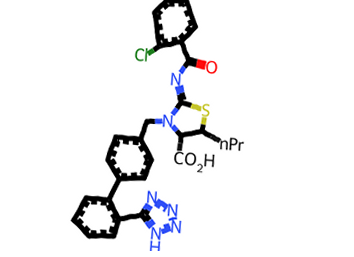 CCCC1SC(=NC(=O)c2ccccc2Cl)N(Cc2ccc(-c3ccccc3-c3nnn[nH]3)cc2)C1C(=O)O